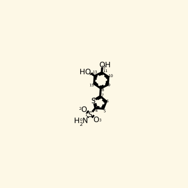 NS(=O)(=O)c1ccc(-c2ccc(O)c(O)c2)s1